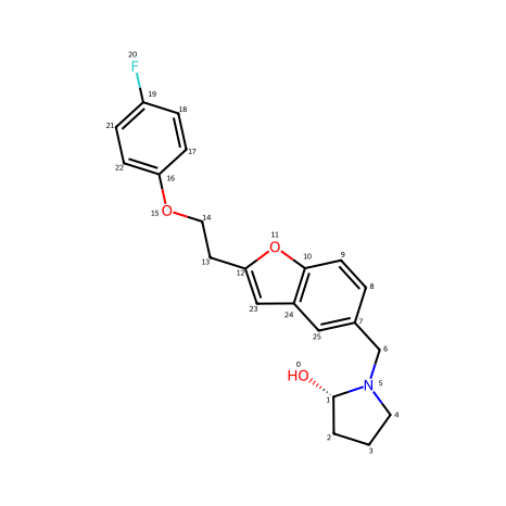 O[C@H]1CCCN1Cc1ccc2oc(CCOc3ccc(F)cc3)cc2c1